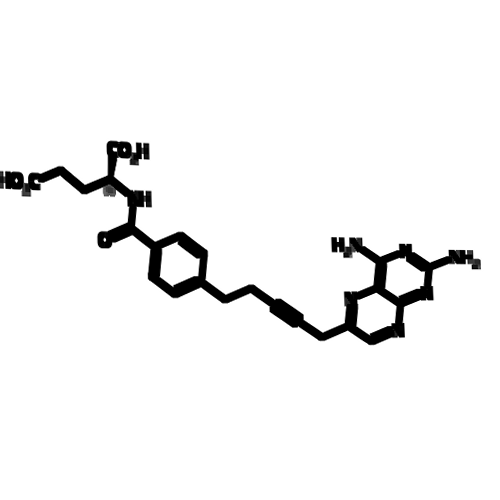 Nc1nc(N)c2nc(CC#CCCc3ccc(C(=O)N[C@@H](CCC(=O)O)C(=O)O)cc3)cnc2n1